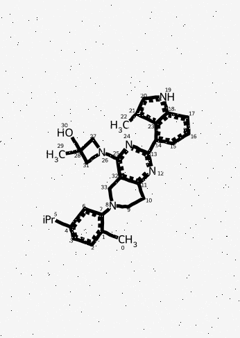 Cc1ccc(C(C)C)cc1N1CCc2nc(-c3cccc4[nH]cc(C)c34)nc(N3CC(C)(O)C3)c2C1